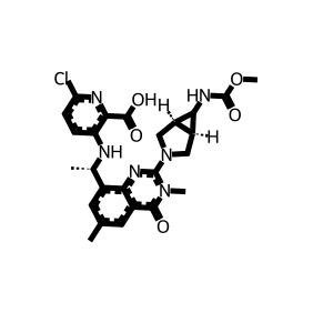 COC(=O)NC1[C@H]2CN(c3nc4c([C@H](C)Nc5ccc(Cl)nc5C(=O)O)cc(C)cc4c(=O)n3C)C[C@@H]12